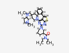 CCN(CC)C(=O)C1CCCN(c2nc(N3CCC(CN(C)C4CCN(C)C4)CC3)c3c(-c4ccccc4)csc3n2)C1